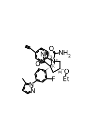 C#Cc1ccc([N+]2(C(N)=O)C[C@H](OCC)C[C@]2(C(N)=O)c2ccc(-n3nccc3C)cc2F)cc1